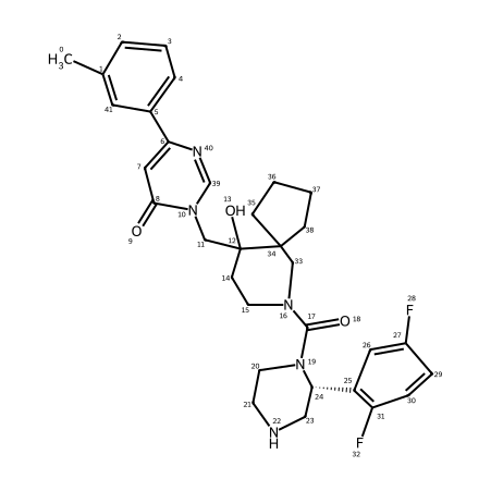 Cc1cccc(-c2cc(=O)n(CC3(O)CCN(C(=O)N4CCNC[C@H]4c4cc(F)ccc4F)CC34CCCC4)cn2)c1